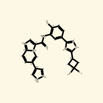 O=C(Nc1cc(-c2noc(C3CC(F)(F)C3)n2)ccc1F)c1cnc2ccc(-c3cn[nH]c3)cn12